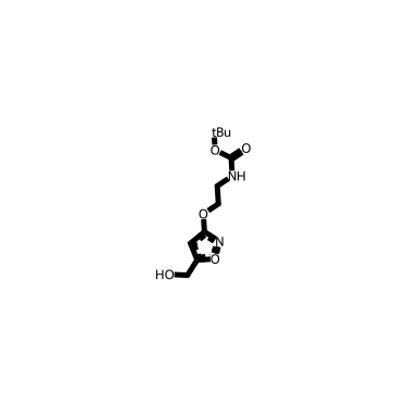 CC(C)(C)OC(=O)NCCOc1cc(CO)on1